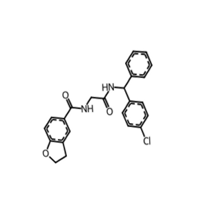 O=C(CNC(=O)c1ccc2c(c1)CCO2)NC(c1ccccc1)c1ccc(Cl)cc1